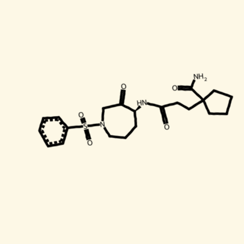 NC(=O)C1(C[CH]C(=O)N[C@H]2CCCN(S(=O)(=O)c3ccccc3)CC2=O)CCCC1